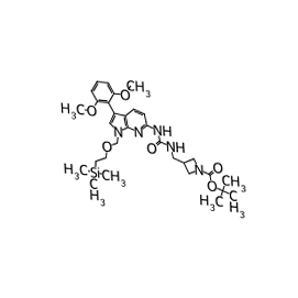 COc1cccc(OC)c1-c1cn(COCC[Si](C)(C)C)c2nc(NC(=O)NCC3CN(C(=O)OC(C)(C)C)C3)ccc12